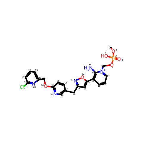 COP(=O)(O)OC[n+]1cccc(-c2cc(Cc3ccc(OCc4cccc(Cl)n4)nc3)no2)c1N